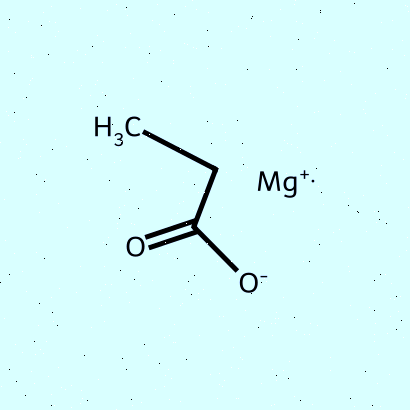 CCC(=O)[O-].[Mg+]